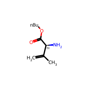 C=C(C)[C@H](N)C(=O)OCCCC